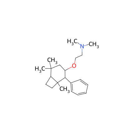 CN(C)CCOC1CC(C)(C)C2CCC2(C)C1c1ccccc1